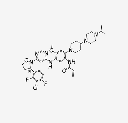 C=CC(=O)Nc1cc(Nc2cc(N3OCC[C@@H]3c3ccc(F)c(Cl)c3F)ncn2)c(OC)cc1N1CCC(N2CCN(C(C)C)CC2)CC1